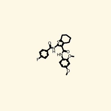 COc1ccc(NC(=O)c2c(NC(=O)c3ccc(F)cc3)sc3c2CCCC3)c(OC)c1